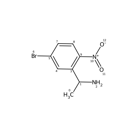 CC(N)c1cc(Br)ccc1[N+](=O)[O-]